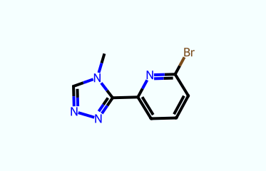 Cn1cnnc1-c1cccc(Br)n1